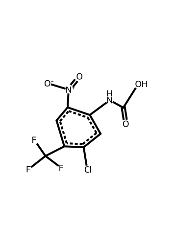 O=C(O)Nc1cc(Cl)c(C(F)(F)F)cc1[N+](=O)[O-]